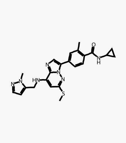 CSc1cc(NCc2ccnn2C)c2ncc(-c3ccc(C(=O)NC4CC4)c(C)c3)n2n1